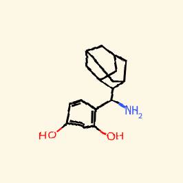 NC(c1ccc(O)cc1O)C1C2CC3CC(C2)CC1C3